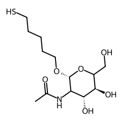 CC(=O)NC1[C@H](OCCCCCS)OC(CO)[C@@H](O)[C@@H]1O